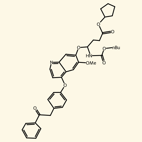 CCCCOC(=O)NC(CCC(=O)OC1CCCC1)Oc1cc2nccc(Oc3ccc(CC(=O)c4ccccc4)cc3)c2cc1OC